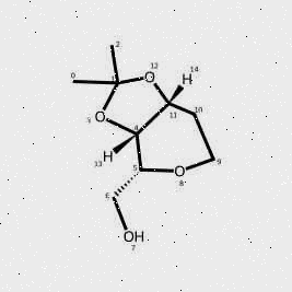 CC1(C)O[C@H]2[C@@H](CO)OCC[C@H]2O1